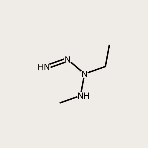 CCN(N=N)NC